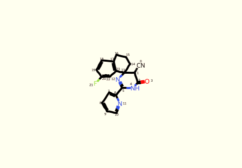 N#CC1C(=O)NC(c2ccccn2)=NC12CCCc1ccc(F)cc12